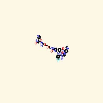 CC(C)N(C)[C@@H]1CC[C@H](N2CC[C@H](Nc3ncnc4ccc(C(F)(F)F)cc34)C2=O)[C@H](NC(=O)[C@H]2CC[C@H](c3ccc(C(=O)NCCOCCOCCNC(=O)[C@H]4CC(=O)N(C)[C@@H]4c4cccnc4)nc3)CC2)C1